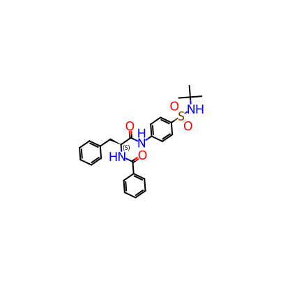 CC(C)(C)NS(=O)(=O)c1ccc(NC(=O)[C@H](Cc2ccccc2)NC(=O)c2ccccc2)cc1